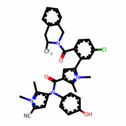 Cc1c(N(C(=O)c2cc(-c3cc(Cl)ccc3C(=O)N3Cc4ccccc4CC3C(F)(F)F)n(C)c2C)c2ccc(O)cc2)cc(C#N)n1C